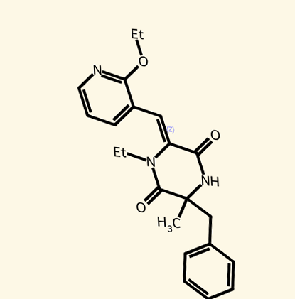 CCOc1ncccc1/C=C1/C(=O)NC(C)(Cc2ccccc2)C(=O)N1CC